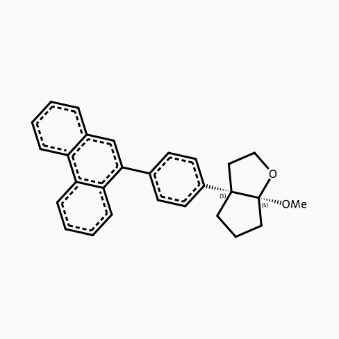 CO[C@]12CCC[C@@]1(c1ccc(-c3cc4ccccc4c4ccccc34)cc1)CCO2